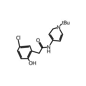 CC(C)(C)N1C=CC(NC(=O)Cc2cc(Cl)ccc2O)=CC1